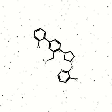 NCc1cc(-c2ccccc2Cl)ccc1N1CC[C@H](Oc2ncccc2Cl)C1